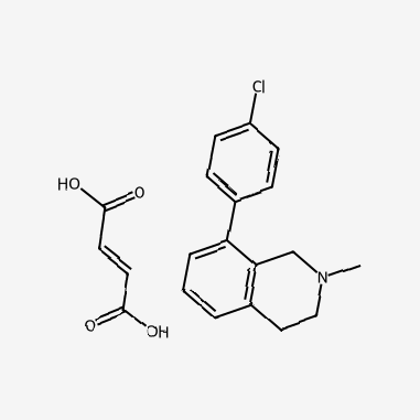 CN1CCc2cccc(-c3ccc(Cl)cc3)c2C1.O=C(O)C=CC(=O)O